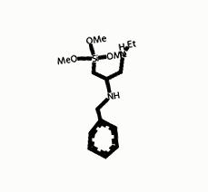 CCNCC(C[Si](OC)(OC)OC)NCc1ccccc1